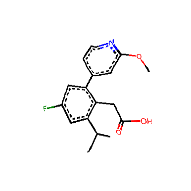 COc1cc(-c2cc(F)cc(C(C)C)c2CC(=O)O)ccn1